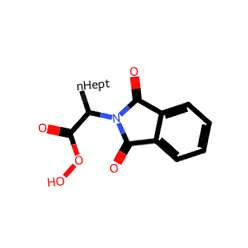 CCCCCCCC(C(=O)OO)N1C(=O)c2ccccc2C1=O